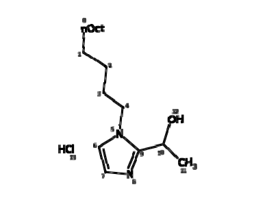 CCCCCCCCCCCCn1ccnc1C(C)O.Cl